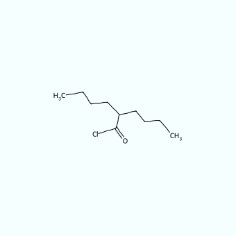 CCCCC(CCCC)C(=O)Cl